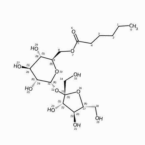 CCCCCC(=O)OC[C@H]1O[C@H](O[C@]2(CO)O[C@H](CO)[C@@H](O)[C@@H]2O)[C@H](O)[C@@H](O)[C@@H]1O